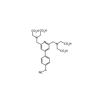 N#CSc1ccc(-c2cc(CN(CC(=O)O)CC(=O)O)nc(CN(CC(=O)O)CC(=O)O)c2)cc1